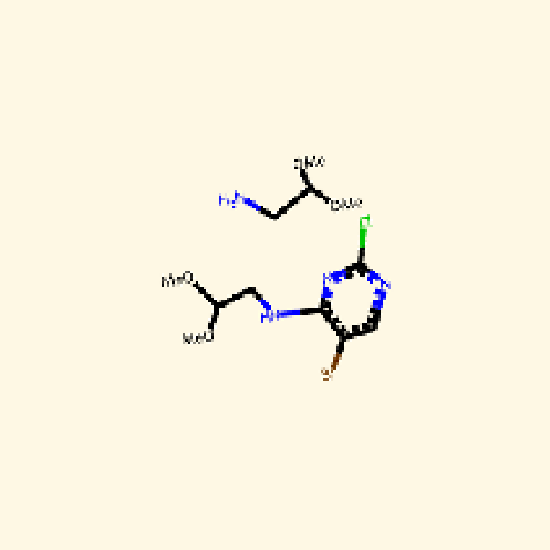 COC(CN)OC.COC(CNc1nc(Cl)ncc1Br)OC